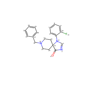 O=C1N=CN(c2ccccc2F)C12CCN(Cc1ccccc1)CC2